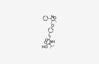 Cc1onc(-c2ccccc2)c1COc1ccc(/C=C/C(=O)N[C@H](C(=O)O)C(C)C)cc1